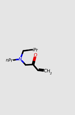 C=CC(=O)CN(CCC)CC(C)C